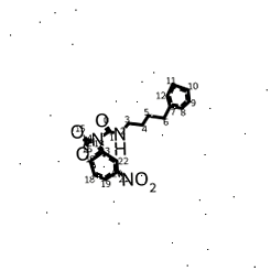 O=C(NCCCCc1ccccc1)n1c(=O)oc2ccc([N+](=O)[O-])cc21